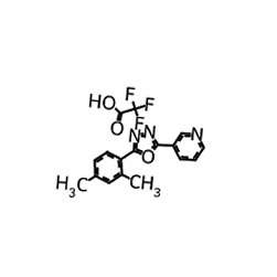 Cc1ccc(-c2nnc(-c3cccnc3)o2)c(C)c1.O=C(O)C(F)(F)F